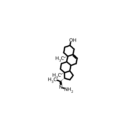 C/C(=N/N)[C@H]1CCC2C3CC=C4CC(O)CC[C@]4(C)C3CC[C@@]21C